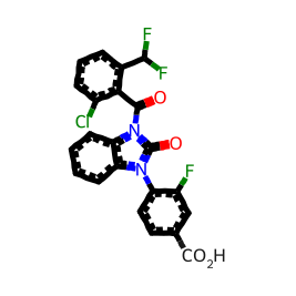 O=C(O)c1ccc(-n2c(=O)n(C(=O)c3c(Cl)cccc3C(F)F)c3ccccc32)c(F)c1